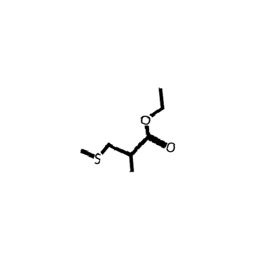 CCOC(=O)C(C)CSC